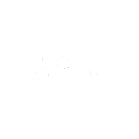 CC(C)(C)OC(=O)N1CCC(COCc2cc(C(F)(F)F)cc(C(F)(F)F)c2)(c2ccc(F)cc2)CC1